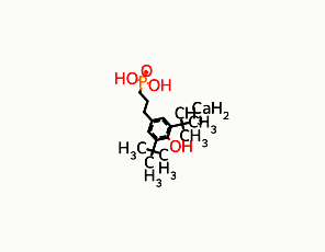 CC(C)(C)c1cc(CCCP(=O)(O)O)cc(C(C)(C)C)c1O.[CaH2]